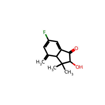 C=C1C=C(F)C=C2C(=O)C(O)C(C)(C)C12